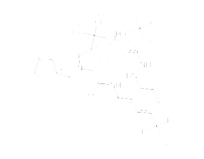 CC(C)(C)OC(=O)NNc1ccc(C(F)(F)F)cc1C(=O)NC(=O)[C@H]1SC(C(C)(C)C)=CN1CC1CCCO1